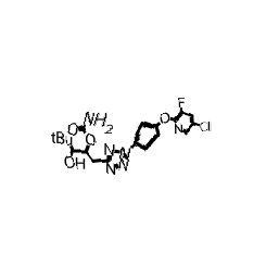 CC(C)(C)C(O)C(Cc1nnn(-c2ccc(Oc3ncc(Cl)cc3F)cc2)n1)OC(N)=O